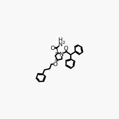 NC(=O)[C@@H]1C[C@H](OCCCc2ccccc2)CN1C(=O)C(c1ccccc1)c1ccccc1